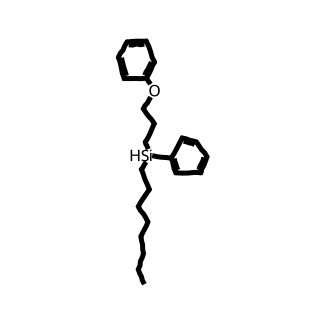 CCCCCCCC[SiH](CCCOc1ccccc1)c1ccccc1